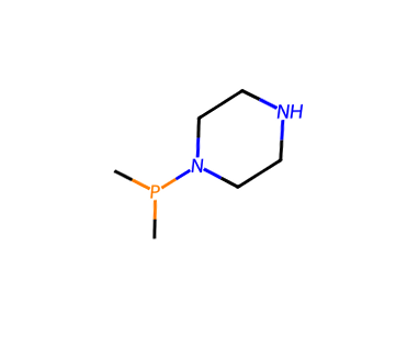 CP(C)N1CCNCC1